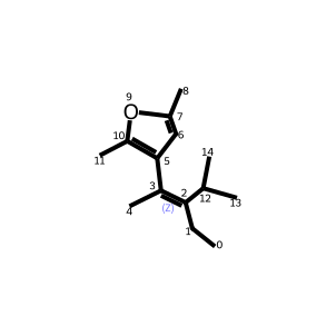 CC/C(=C(\C)c1cc(C)oc1C)C(C)C